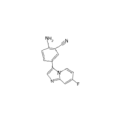 N#Cc1cc(-c2cnc3cc(F)ccn23)ccc1N